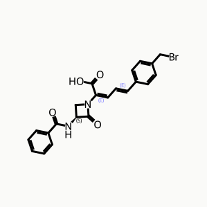 O=C(O)/C(=C\C=C\c1ccc(CBr)cc1)N1C[C@H](NC(=O)c2ccccc2)C1=O